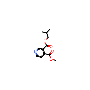 COC(=O)c1ccncc1C(=O)OCC(C)C